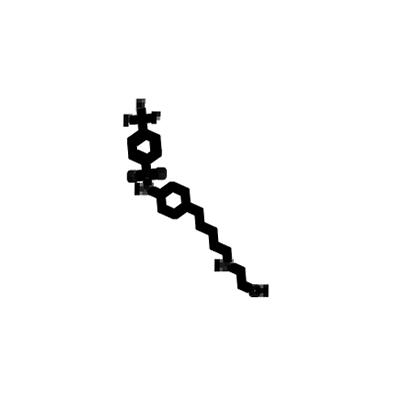 O=S(=O)(NC1CCC(CCCCCNCCO)CC1)c1ccc(C(F)(F)F)cc1